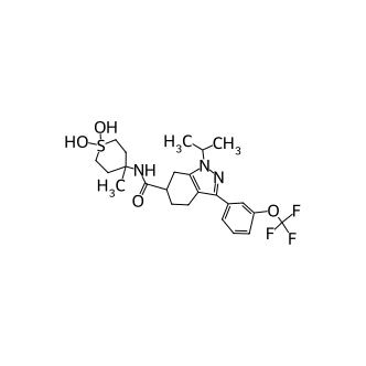 CC(C)n1nc(-c2cccc(OC(F)(F)F)c2)c2c1CC(C(=O)NC1(C)CCS(O)(O)CC1)CC2